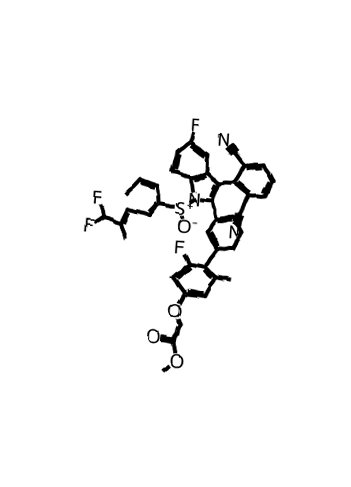 C\C=C/C(=C\C=C(/C)C(F)F)[S+]([O-])n1c(C2=CCCC(c3c(C)cc(OCC(=O)OC)cc3F)=C2)c(-c2c(C#N)cccc2C#N)c2cc(F)ccc21